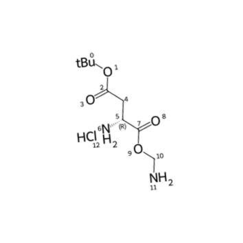 CC(C)(C)OC(=O)C[C@@H](N)C(=O)OCN.Cl